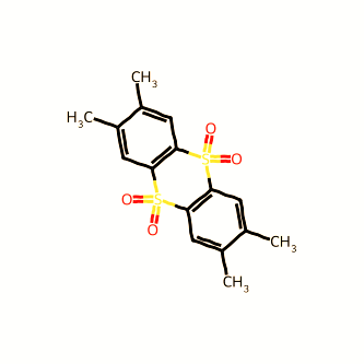 Cc1cc2c(cc1C)S(=O)(=O)c1cc(C)c(C)cc1S2(=O)=O